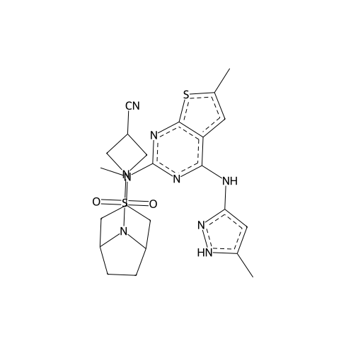 Cc1cc(Nc2nc(N(C)C3CC4CCC(C3)N4S(=O)(=O)N3CC(C#N)C3)nc3sc(C)cc23)n[nH]1